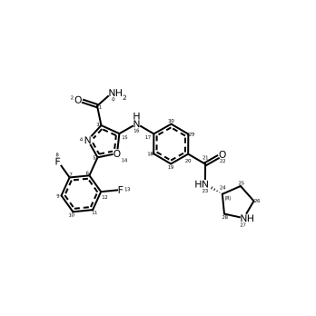 NC(=O)c1nc(-c2c(F)cccc2F)oc1Nc1ccc(C(=O)N[C@@H]2CCNC2)cc1